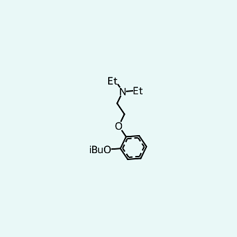 CCN(CC)CCOc1ccccc1OCC(C)C